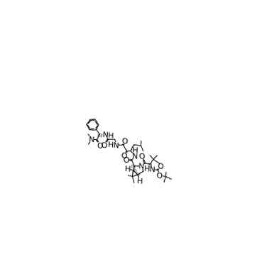 CC(C)CC(NC(=O)[C@@H]1[C@@H]2[C@H](CN1C(=O)[C@@H](NC(=O)OC(C)(C)C)C(C)(C)C)C2(C)C)C(=O)C(=O)NCC(=O)N[C@H](C(=O)N(C)C)c1ccccc1